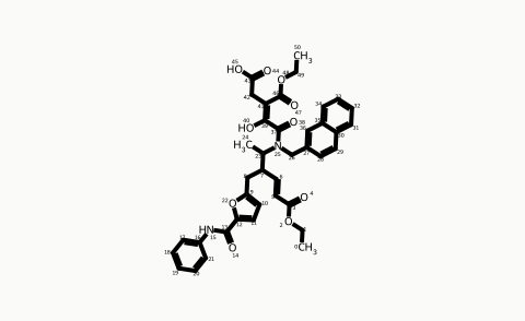 CCOC(=O)/C=C/C(Cc1ccc(C(=O)Nc2ccccc2)o1)C(C)N(Cc1ccc2ccccc2c1)C(=O)C(O)=C(CC(=O)O)C(=O)OCC